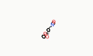 c1ccc2c(c1)OC[C@H](c1ccc(CCN3CCOCC3)cc1)O2